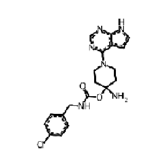 NC1(OC(=O)NCc2ccc(Cl)cc2)CCN(c2ncnc3[nH]ccc23)CC1